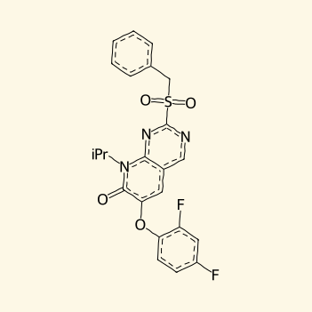 CC(C)n1c(=O)c(Oc2ccc(F)cc2F)cc2cnc(S(=O)(=O)Cc3ccccc3)nc21